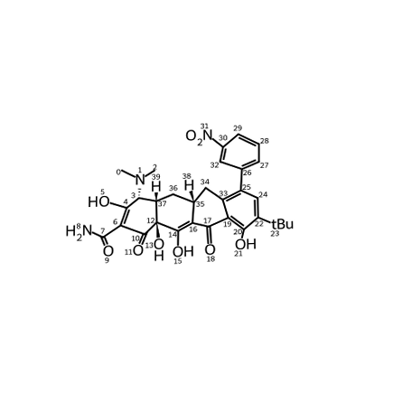 CN(C)[C@H]1C(O)=C(C(N)=O)C(=O)[C@@]2(O)C(O)=C3C(=O)c4c(O)c(C(C)(C)C)cc(-c5cccc([N+](=O)[O-])c5)c4C[C@H]3C[C@@H]12